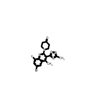 Cc1noc(-c2c(N3CCC(=O)CC3)nc3c(F)cc(Br)cc3c2C)n1